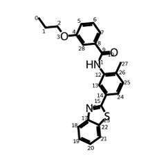 CCCOc1cccc(C(=O)Nc2cc(-c3nc4ccccc4s3)ccc2C)c1